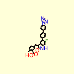 Cc1ccc(C=C2C(=O)Nc3cc(F)c(-c4ccc(-c5ccc(-n6cncn6)cc5)cc4)cc32)cc1C(=O)O